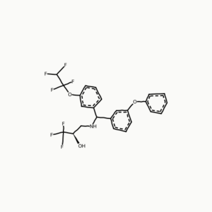 O[C@H](CNC(c1cccc(Oc2ccccc2)c1)c1cccc(OC(F)(F)C(F)F)c1)C(F)(F)F